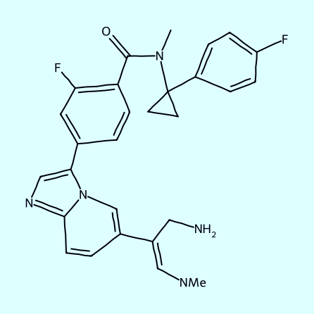 CN/C=C(\CN)c1ccc2ncc(-c3ccc(C(=O)N(C)C4(c5ccc(F)cc5)CC4)c(F)c3)n2c1